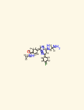 Cc1cc(-c2cnc3c(NCC(C)(C)N)cc(-c4ccc(F)cc4)nn23)ccc1C(=O)NC1CC1